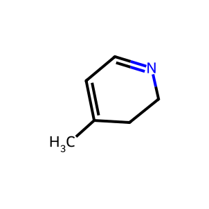 CC1=CC=NCC1